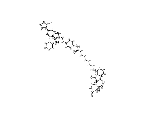 Cc1noc(C)c1-c1ccn2c(NC3CCCCC3)c(CCc3ccc(NC(=O)CCCCCCCNc4cccc5c4C(=O)N(C4CCC(=O)NC4=O)C5=O)cc3)nc2c1